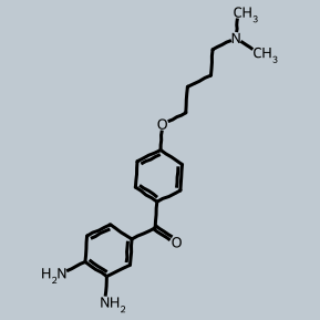 CN(C)CCCCOc1ccc(C(=O)c2ccc(N)c(N)c2)cc1